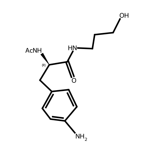 CC(=O)N[C@H](Cc1ccc(N)cc1)C(=O)NCCCO